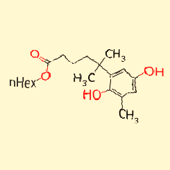 CCCCCCOC(=O)CCCC(C)(C)c1cc(O)cc(C)c1O